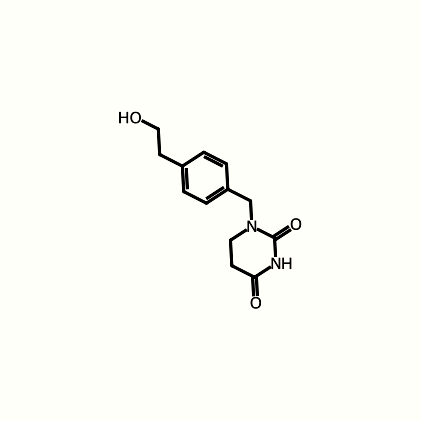 O=C1CCN(Cc2ccc(CCO)cc2)C(=O)N1